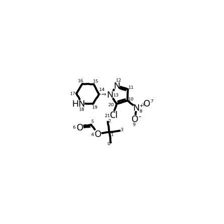 CC(C)(C)OC=O.O=[N+]([O-])c1cnn([C@H]2CCCNC2)c1Cl